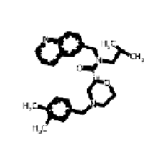 Cc1ccc(CN2CCO[C@@H](C(=O)N(Cc3ccc4ncccc4c3)CC(C)C)C2)cc1C